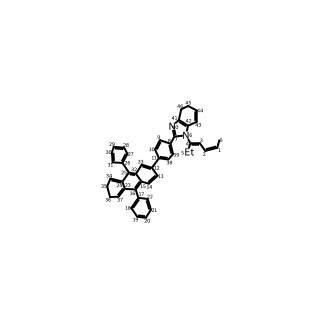 C/C=C\C=C(/CC)n1c(-c2ccc(-c3ccc4c(-c5ccccc5)c5c(c(-c6ccccc6)c4c3)=CCCC=5)cc2)nc2c1C=CCC2